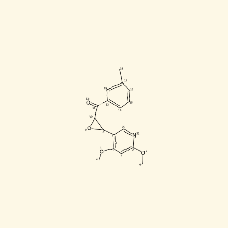 COc1cc(OC)c(C2OC2C(=O)c2cccc(C)c2)cn1